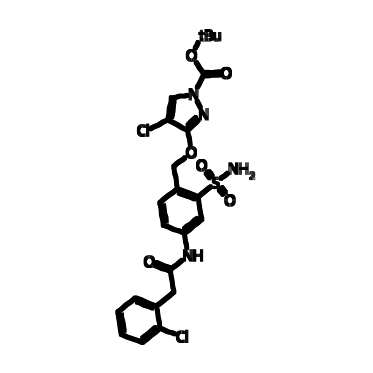 CC(C)(C)OC(=O)n1cc(Cl)c(OCc2ccc(NC(=O)Cc3ccccc3Cl)cc2S(N)(=O)=O)n1